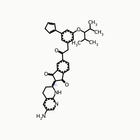 CC(C)C(Oc1cc(CC(=O)c2ccc3c(c2)C(=O)/C(=C2\CCc4cc(N)cnc4N2)C3=O)cc(C2=CCC=C2)c1)C(C)C